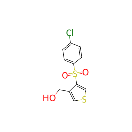 O=S(=O)(c1ccc(Cl)cc1)c1cscc1CO